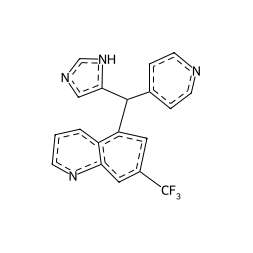 FC(F)(F)c1cc(C(c2ccncc2)c2cnc[nH]2)c2cccnc2c1